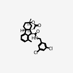 Cc1cccc2c1[C@H](C(=O)NCc1cc(Cl)cc(Cl)c1)[C@@]13CC(=O)O[C@@](C)(CC[C@@H]21)C3